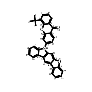 CC(C)(C)c1cccc2c(=O)c3ccc(-n4c5ccccc5c5cc6c(cc54)oc4ccccc46)cc3oc12